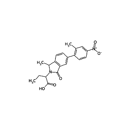 CCC(C(=O)O)N1C(=O)c2cc(-c3ccc([N+](=O)[O-])cc3C)ccc2C1C